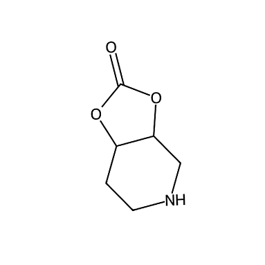 O=C1OC2CCNCC2O1